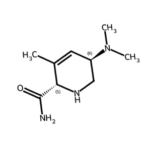 CC1=C[C@@H](N(C)C)CN[C@@H]1C(N)=O